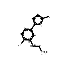 Cc1ccc(-c2ccc(F)c(NCC(=O)O)c2)o1